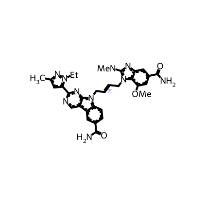 CCn1nc(C)cc1-c1ncc2c3cc(C(N)=O)ccc3n(C/C=C/Cn3c(NC)nc4cc(C(N)=O)cc(OC)c43)c2n1